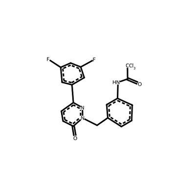 O=C(Nc1cccc(Cn2nc(-c3cc(F)cc(F)c3)ccc2=O)c1)C(Cl)(Cl)Cl